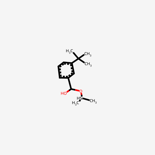 C[SiH](C)OC(O)c1cccc(C(C)(C)C)c1